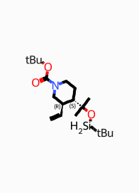 C=C[C@H]1CN(C(=O)OC(C)(C)C)CC[C@@H]1C(C)(C)O[SiH2]C(C)(C)C